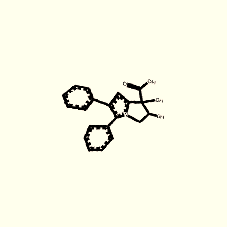 O=C(O)C1(O)c2cc(-c3ccccc3)c(-c3ccccc3)n2CC1O